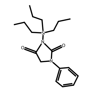 CCC[Si](CCC)(CCC)N1C(=O)CN(c2ccccc2)C1=O